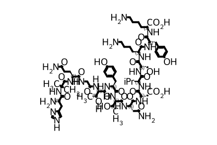 CC(C)[C@H](NC(=O)[C@H](CC(=O)O)NC(=O)[C@H](CC(N)=O)NC(=O)[C@@H](NC(=O)[C@H](Cc1ccc(O)cc1)NC(=O)[C@@H](NC(=O)CNC(=O)[C@H](CCC(N)=O)NC(=O)C(C)(C)NC(=O)[C@@H](N)Cc1c[nH]cn1)[C@@H](C)O)[C@@H](C)O)C(=O)N[C@@H](CO)C(=O)N[C@@H](CCCCN)C(=O)N[C@@H](Cc1ccc(O)cc1)C(=O)N[C@@H](CCCCN)C(=O)O